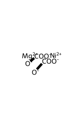 O=C([O-])[O-].O=C([O-])[O-].[Mg+2].[Ni+2]